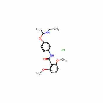 CCNC(C)Oc1ccc(NC(=O)c2c(OC)cccc2OC)cc1.Cl